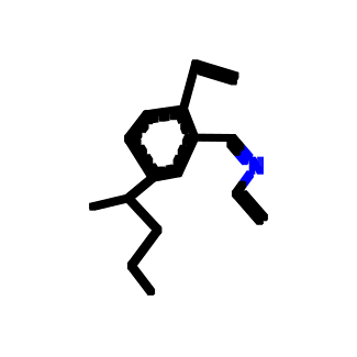 C=C/N=C\c1cc(C(C)CCC)ccc1C=C